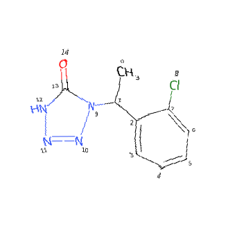 CC(c1ccccc1Cl)n1nn[nH]c1=O